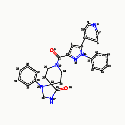 O=C(c1cc(-c2ccncc2)n(-c2ccccc2)n1)N1CCC2(CC1)C(=O)NCN2c1ccccc1